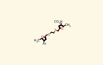 CC(=O)c1cc(CSCCSCc2cc(C(=O)O)c(C)o2)oc1C